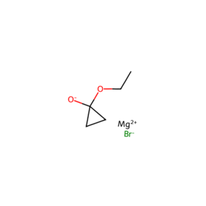 CCOC1([O-])CC1.[Br-].[Mg+2]